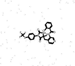 CC1(Cc2ccncc2NC(=O)c2ccccc2Cl)NC(=O)N(c2ccc(SC(F)(F)F)cc2)C1=O